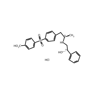 C[C@H](Cc1ccc(S(=O)(=O)c2ccc(C(=O)O)cc2)cc1)NC[C@@H](O)c1ccccc1.Cl